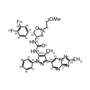 COCCN1C[C@@H](NC(=O)Nc2c(C)c(-c3cnc4nc(C)nn4c3)nn2-c2ccccc2)[C@H](c2ccc(F)c(F)c2)O1